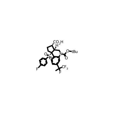 CC(C)(C)OC(=O)N1C[C@H]2[C@H](C(=O)O)CC[C@@]2(S(=O)(=O)c2ccc(F)cc2)c2ccc(C(C)(F)C(F)(F)F)cc21